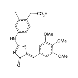 COc1cc(/C=C2\SC(Nc3ccc(CC(=O)O)c(F)c3)=NC2=O)cc(OC)c1OC